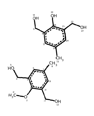 COc1c(CO)cc(C)cc1CO.Cc1cc(CO)c(O)c(CO)c1